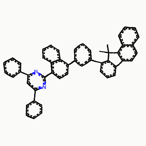 CC1(C)c2c(-c3cccc(-c4ccc(-c5nc(-c6ccccc6)cc(-c6ccccc6)n5)c5ccccc45)c3)cccc2-c2ccc3ccccc3c21